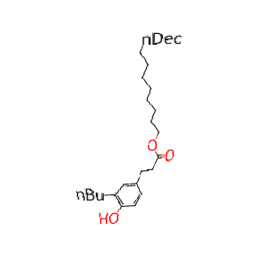 CCCCCCCCCCCCCCCCCCOC(=O)CCc1ccc(O)c(CCCC)c1